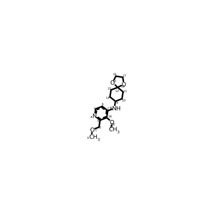 COCc1nccc(NC2CCC3(CC2)OCCO3)c1OC